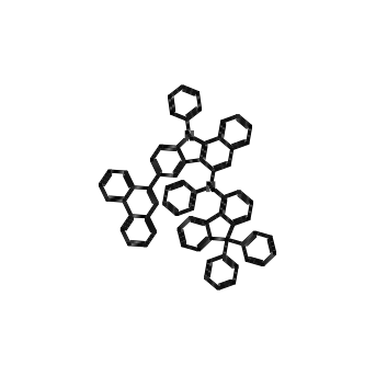 c1ccc(N(c2cccc3c2-c2ccccc2C3(c2ccccc2)c2ccccc2)c2cc3ccccc3c3c2c2cc(-c4cc5ccccc5c5ccccc45)ccc2n3-c2ccccc2)cc1